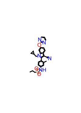 CCCS(=O)(=O)Nc1ccc(-c2c(C#N)c3ccc(Oc4ncccn4)cc3n2CC2CC2)c(C)c1